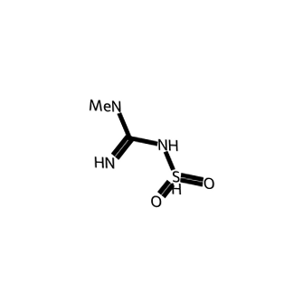 CNC(=N)N[SH](=O)=O